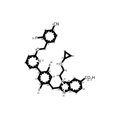 N#Cc1ccc(COc2cccc(-c3cc(F)c(Cc4nc5ccc(C(=O)O)cc5n4CCOC4CC4)cc3F)n2)c(F)c1